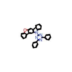 c1ccc(-c2nc(-c3ccccc3)nc(-n3c4ccccc4c4cc5oc6ccccc6c5cc43)n2)cc1